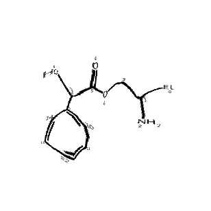 CCC(N)COC(=O)C(O)c1ccccc1